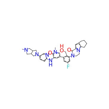 CN1CC2CN(c3ccc(Nc4cc(-c5cc(F)cc(N6CCn7c(cc8c7CCCC8)C6=O)c5CO)cn(C)c4=O)nc3)CC2C1